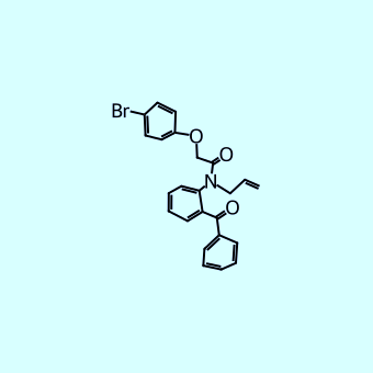 C=CCN(C(=O)COc1ccc(Br)cc1)c1ccccc1C(=O)c1ccccc1